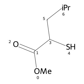 COC(=O)C(S)CC(C)C